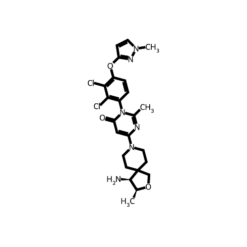 Cc1nc(N2CCC3(CC2)CO[C@@H](C)[C@H]3N)cc(=O)n1-c1ccc(Oc2ccn(C)n2)c(Cl)c1Cl